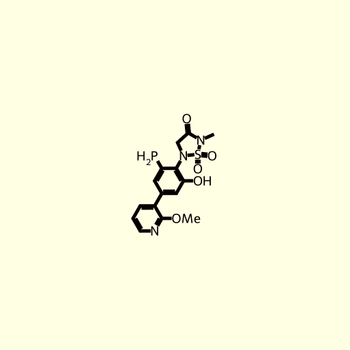 COc1ncccc1-c1cc(O)c(N2CC(=O)N(C)S2(=O)=O)c(P)c1